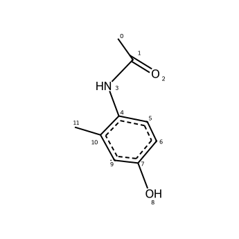 CC(=O)Nc1ccc(O)[c]c1C